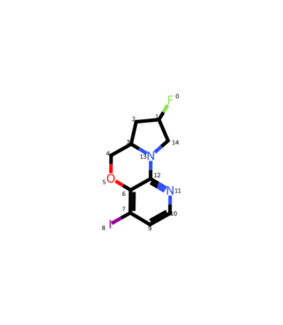 FC1CC2COc3c(I)ccnc3N2C1